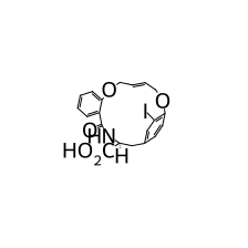 O=C1N[C@H](C(=O)O)Cc2ccc(c(I)c2)OC/C=C/COc2ccccc21